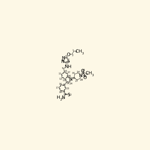 CCCOc1nnc(NCc2ccc3c(-c4cccc(C(N)=S)c4)cn(C4CCN(S(C)(=O)=O)CC4)c3c2)s1